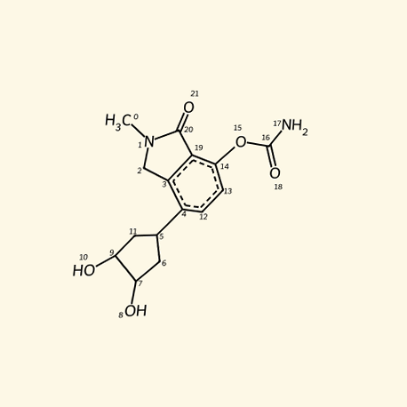 CN1Cc2c(C3CC(O)C(O)C3)ccc(OC(N)=O)c2C1=O